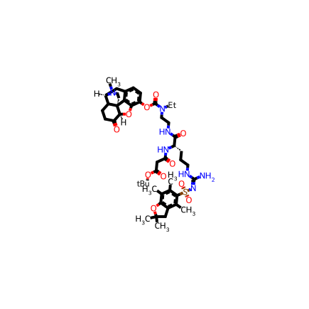 CCN(CCNC(=O)[C@H](CCCN/C(N)=N\S(=O)(=O)c1c(C)c(C)c2c(c1C)CC(C)(C)O2)NC(=O)CC(=O)OC(C)(C)C)C(=O)Oc1ccc2c3c1O[C@H]1C(=O)CCC4[C@@H](C2)N(C)CC[C@@]341